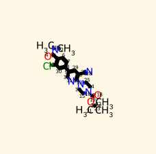 CN(C)C(=O)c1ccc(-c2cnc(N3CCN(C(=O)OC(C)(C)C)CC3)c(C#N)c2)cc1Cl